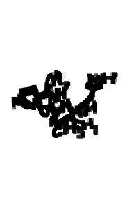 Cc1nc(C(=O)N[C@H](C)c2ccc(F)cn2)nc(NCCc2cn[nH]c2)c1C